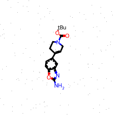 CC(C)(C)OC(=O)N1CC=C(c2ccc3oc(N)nc3c2)CC1